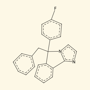 Fc1ccc(C2(Cc3ccccc3)c3ccccc3-c3nccn32)cc1